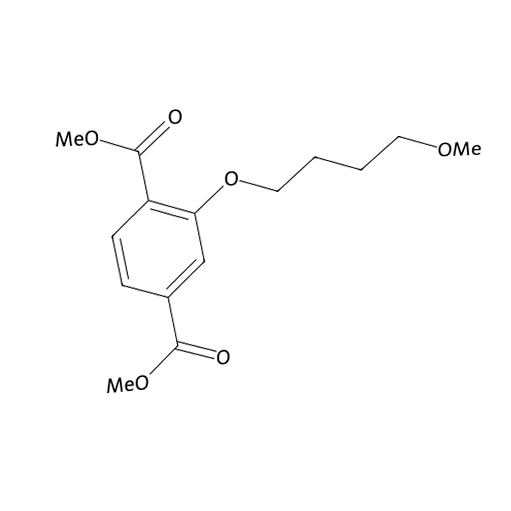 COCCCCOc1cc(C(=O)OC)ccc1C(=O)OC